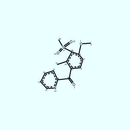 COc1ccc(C(=O)c2ccccn2)c(C)c1S(C)(=O)=O